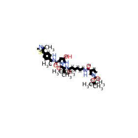 Cc1ncsc1-c1ccc([C@H](C)NC(=O)[C@@H]2C[C@@H](O)CN2C(=O)[C@@H](NC(=O)CCCCCNC(=O)[C@@H]2CCN(C(=O)OC(C)(C)C)C2)C(C)(C)C)cc1